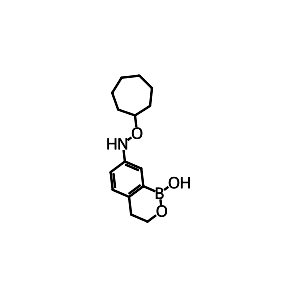 OB1OCCc2ccc(NOC3CCCCCC3)cc21